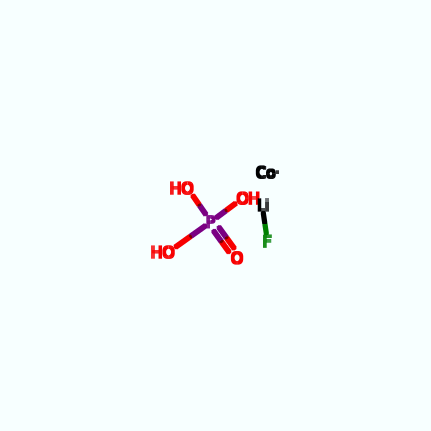 O=P(O)(O)O.[Co].[Li][F]